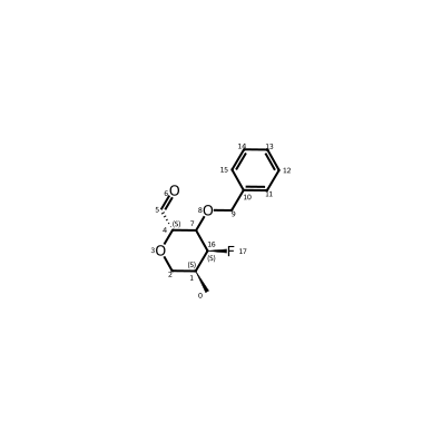 C[C@H]1CO[C@H](C=O)C(OCc2ccccc2)[C@H]1F